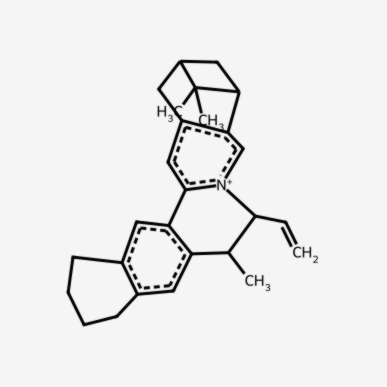 C=CC1C(C)c2cc3c(cc2-c2cc4c(c[n+]21)C1CC(C4)C1(C)C)CCCC3